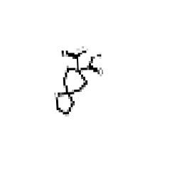 O=C(O)C1(C(=O)O)CCC2(CCCO2)CC1